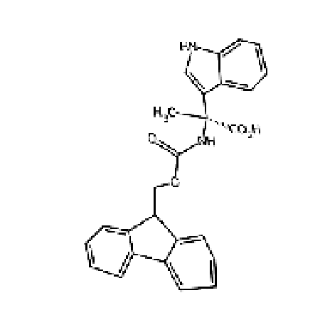 C[C@@](NC(=O)OCC1c2ccccc2-c2ccccc21)(C(=O)O)c1c[nH]c2ccccc12